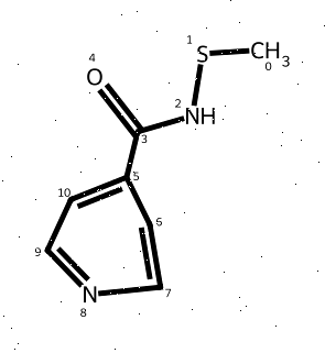 CSNC(=O)c1ccncc1